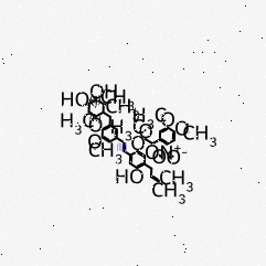 COC(=O)C(Oc1cc(/C=C/c2cc3c(c(OC)c2)O[C@]2(C)C[C@@H](O)[C@@H](O)C(C)(C)C2C3)cc(O)c1CC=C(C)C)c1cc(OC)c(OC)cc1[N+](=O)[O-]